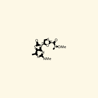 CNc1nc(C)c2sc(=O)n([C@H]3CS[C@@H](C(=O)N(C)OC)O3)c2n1